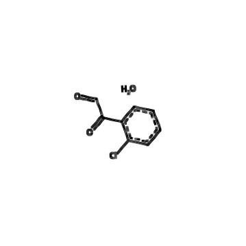 O.O=CC(=O)c1ccccc1Cl